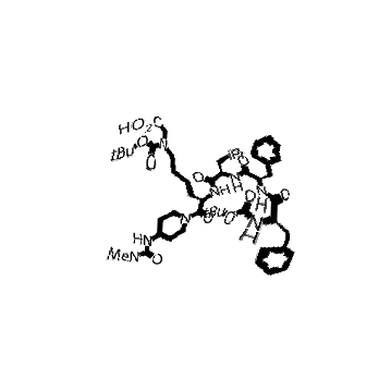 CNC(=O)NC1CCN(C(=O)[C@@H](CCCCN(CC(=O)O)C(=O)OC(C)(C)C)NC(=O)[C@@H](CC(C)C)NC(=O)[C@@H](Cc2ccccc2)NC(=O)[C@@H](Cc2ccccc2)NC(=O)OC(C)(C)C)CC1